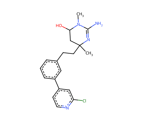 CN1C(N)=NC(C)(CCc2cccc(-c3ccnc(Cl)c3)c2)CC1O